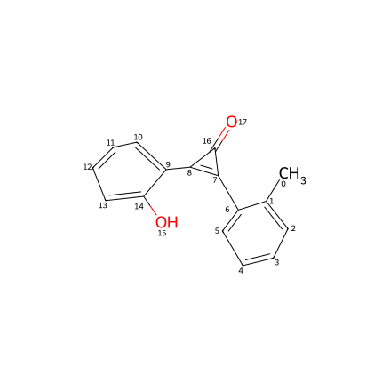 Cc1ccccc1-c1c(-c2ccccc2O)c1=O